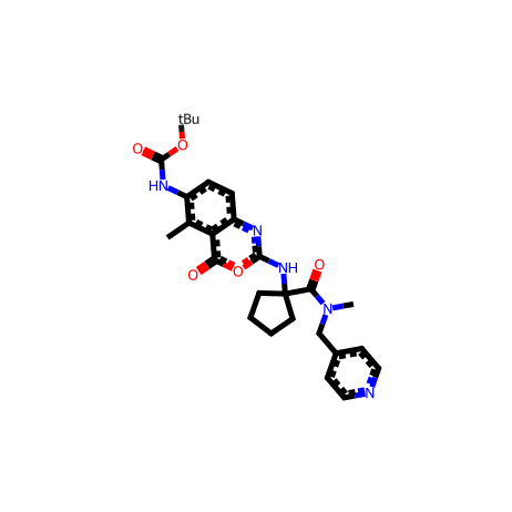 Cc1c(NC(=O)OC(C)(C)C)ccc2nc(NC3(C(=O)N(C)Cc4ccncc4)CCCC3)oc(=O)c12